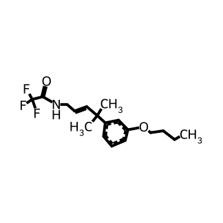 CCCCOc1cccc(C(C)(C)/C=C/CNC(=O)C(F)(F)F)c1